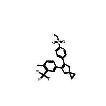 Cc1ccc(C2=C(c3ccc(S(=O)(=O)CF)cc3)CC3(CC3)C2)cc1C(F)(F)F